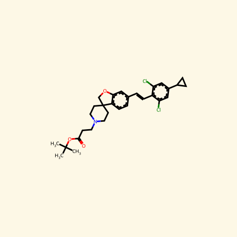 CC(C)(C)OC(=O)CCN1CCC2(CC1)COc1cc(C=Cc3c(Cl)cc(C4CC4)cc3Cl)ccc12